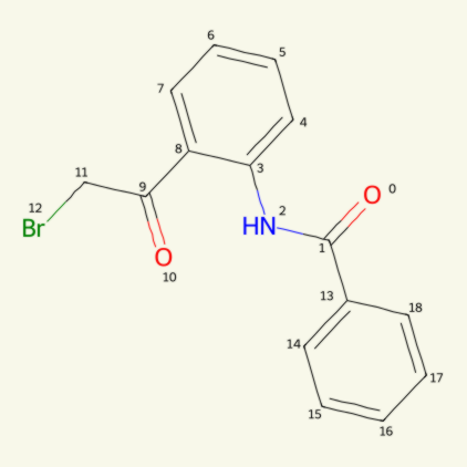 O=C(Nc1ccccc1C(=O)CBr)c1ccccc1